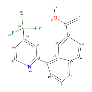 C=C(OC)c1ccc2cccc(-c3cc(C(F)(F)F)ccn3)c2c1